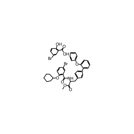 COC(=O)C(Cc1ccc(-c2ccccc2Oc2ccccc2)cc1)NC(=O)c1cc(Br)ccc1OC1CCCCC1.O=C(O)c1cc(Br)ccc1O